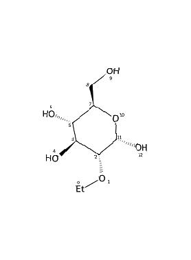 CCO[C@@H]1[C@@H](O)[C@H](O)[C@@H](CO)O[C@@H]1O